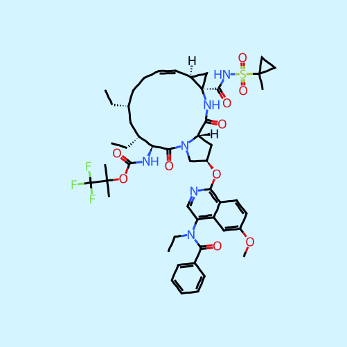 CC[C@@H]1CC/C=C\[C@H]2C[C@@]2(C(=O)NS(=O)(=O)C2(C)CC2)NC(=O)[C@@H]2C[C@@H](Oc3ncc(N(CC)C(=O)c4ccccc4)c4cc(OC)ccc34)CN2C(=O)[C@@H](NC(=O)OC(C)(C)C(F)(F)F)[C@H](CC)C1